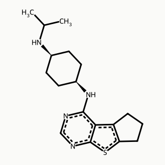 CC(C)N[C@H]1CC[C@@H](Nc2ncnc3sc4c(c23)CCC4)CC1